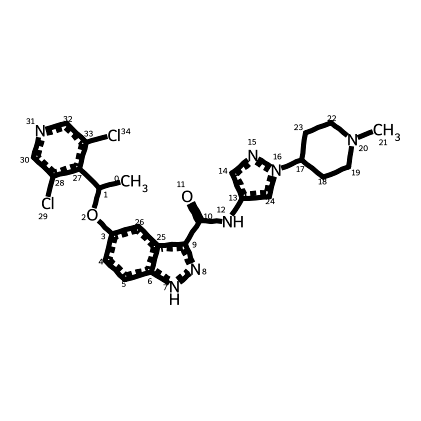 CC(Oc1ccc2[nH]nc(C(=O)Nc3cnn(C4CCN(C)CC4)c3)c2c1)c1c(Cl)cncc1Cl